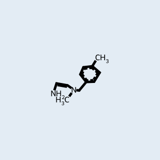 Cc1ccc(CN(C)/C=C\N)cc1